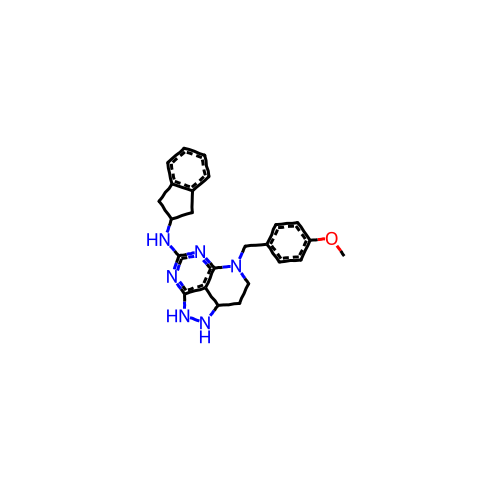 COc1ccc(CN2CCC3NNc4nc(NC5Cc6ccccc6C5)nc2c43)cc1